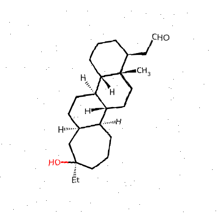 CC[C@@]1(O)CCC[C@H]2[C@H](CC[C@@H]3[C@@H]2CC[C@@]2(C)[C@H](CC=O)CCC[C@@H]32)C1